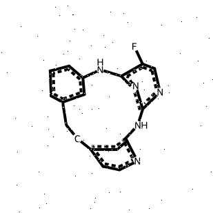 Fc1cnc2nc1Nc1cccc(c1)CCc1ccnc(c1)N2